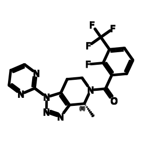 C[C@@H]1c2nnn(-c3ncccn3)c2CCN1C(=O)c1cccc(C(F)(F)F)c1F